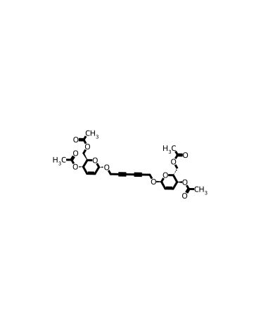 CC(=O)OC[C@H]1O[C@H](OCC#CC#CCO[C@@H]2C=C[C@H](OC(C)=O)[C@@H](COC(C)=O)O2)C=C[C@@H]1OC(C)=O